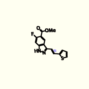 COC(=O)c1cc2c(/C=C/c3cccs3)n[nH]c2cc1F